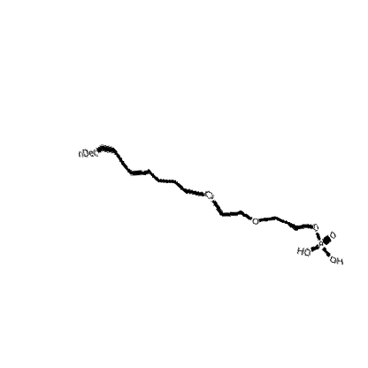 CCCCCCCCCCCCCCCCOCCOCCOP(=O)(O)O